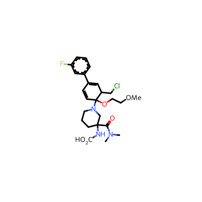 COCCOC1(N2CCCC(NC(=O)O)(C(=O)N(C)C)C2)C=CC(c2cccc(F)c2)=CC1CCl